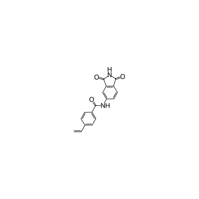 C=Cc1ccc(C(=O)Nc2ccc3c(c2)C(=O)NC3=O)cc1